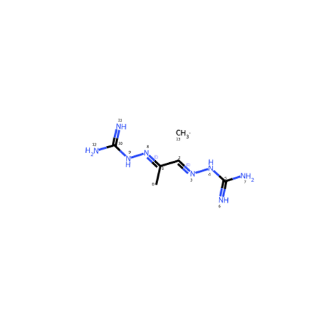 CC(/C=N/NC(=N)N)=N\NC(=N)N.[CH3]